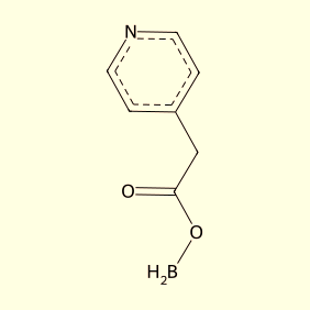 BOC(=O)Cc1ccncc1